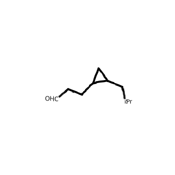 CC(C)CC1CC1CCC=O